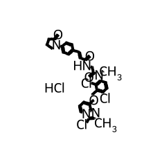 Cc1nc2c(OCc3c(Cl)ccc(N(C)C(=O)CNC(=O)C=Cc4ccc(N5CCCC5=O)cc4)c3Cl)cccn2c1Cl.Cl